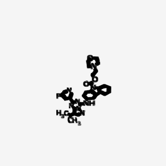 CC(C)c1cnn2c(N[C@@H]3CCc4c(c5ccccc5n4C(=O)OCCN4CCOCC4)C3)nc(-c3cncc(F)c3)nc12